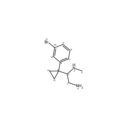 CNC(CN)C1(c2cccc(Br)c2)CC1